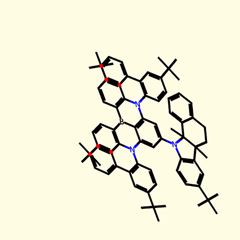 CC(C)(C)c1ccc(N2c3cc(C(C)(C)C)ccc3B3c4ccc(C(C)(C)C)cc4N(c4ccc(C(C)(C)C)cc4-c4ccccc4)c4cc(N5c6ccc(C(C)(C)C)cc6C6(C)CCc7ccccc7C56C)cc2c43)c(-c2ccccc2)c1